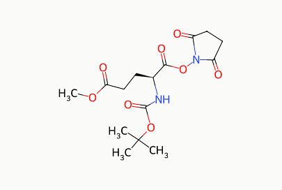 COC(=O)CC[C@H](NC(=O)OC(C)(C)C)C(=O)ON1C(=O)CCC1=O